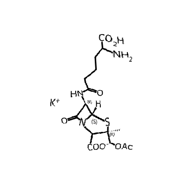 CC(=O)OC[C@]1(C)S[C@H]2[C@H](NC(=O)CCCC(N)C(=O)O)C(=O)N2C1C(=O)[O-].[K+]